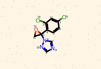 Clc1ccc(C2(n3cncn3)CO2)c(Cl)c1